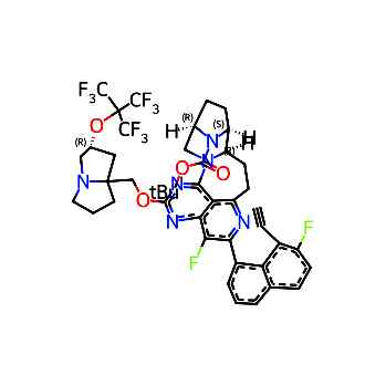 C#Cc1c(F)ccc2cccc(-c3nc4c5c(nc(OCC67CCCN6C[C@H](OC(C(F)(F)F)(C(F)(F)F)C(F)(F)F)C7)nc5c3F)N3C[C@H]5CC[C@@H]([C@H]3CC4)N5C(=O)OC(C)(C)C)c12